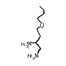 CCCOCCC(N)CN